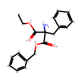 CCOC(=O)C(N)(Cc1ccccc1)C(=O)OCc1ccccc1